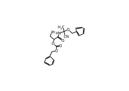 CC(C)CC(OC(=O)OCc1ccccc1)C(=O)NC(C)(C#N)OCc1ccccc1